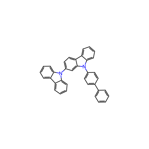 c1ccc(-c2ccc(-n3c4ccccc4c4ccc(-n5c6ccccc6c6ccccc65)cc43)cc2)cc1